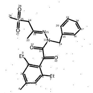 CCc1cc(C)cc(CC)c1C(=O)C(=O)N(Cc1ccccc1)N=C(C)CS(C)(=O)=O